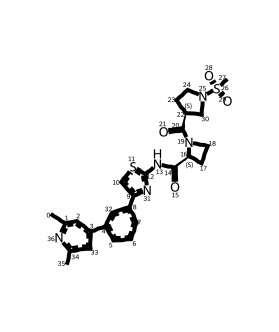 Cc1cc(-c2cccc(-c3csc(NC(=O)[C@@H]4CCN4C(=O)[C@H]4CCN(S(C)(=O)=O)C4)n3)c2)cc(C)n1